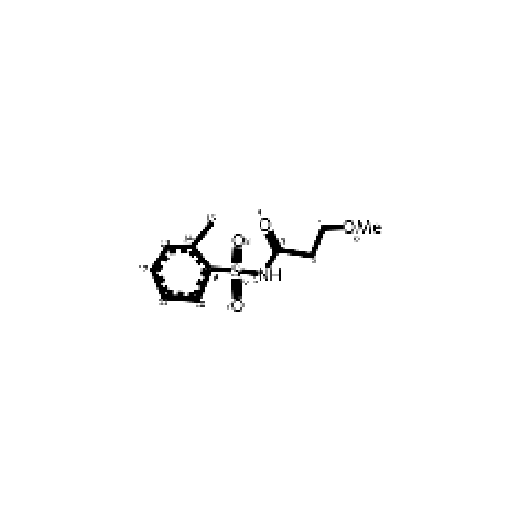 COCCC(=O)NS(=O)(=O)c1ccccc1C